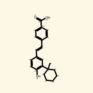 CC1(c2cc(C=Cc3ccc(C(=O)O)cc3)ccc2O)CCCCC1